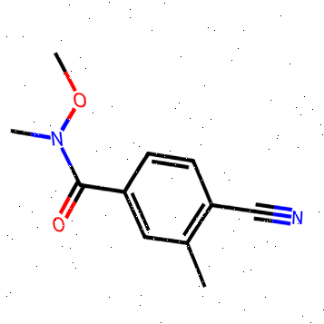 CON(C)C(=O)c1ccc(C#N)c(C)c1